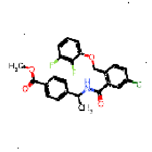 COC(=O)c1ccc([C@H](C)NC(=O)c2cc(Cl)ccc2COc2cccc(F)c2F)cc1